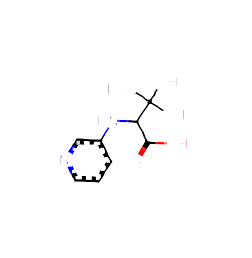 CC(C)(C)C(Nc1cccnc1)C(=O)O